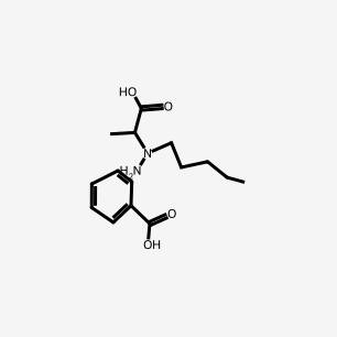 CCCCCN(N)C(C)C(=O)O.O=C(O)c1ccccc1